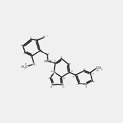 COc1cccc(F)c1CNc1ccc(-c2cncc(C)c2)c2nncn12